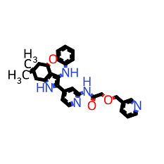 CC1(C)CC(=O)c2c([nH]c(-c3ccnc(NC(=O)COCc4cccnc4)c3)c2Nc2ccccc2)C1